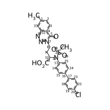 Cc1ccc2c(=O)n(CCC(C(=O)O)N(c3ccc(-c4ccc(Cl)cc4)cc3)S(C)(=O)=O)nnc2c1